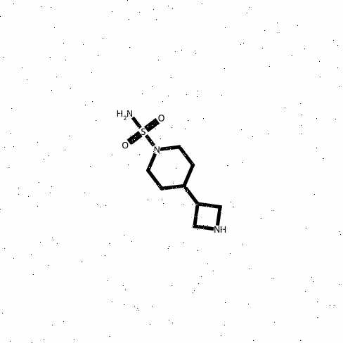 NS(=O)(=O)N1CCC(C2CNC2)CC1